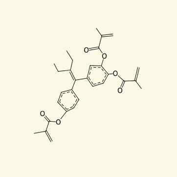 C=C(C)C(=O)Oc1ccc(C(=C(CC)CC)c2ccc(OC(=O)C(=C)C)c(OC(=O)C(=C)C)c2)cc1